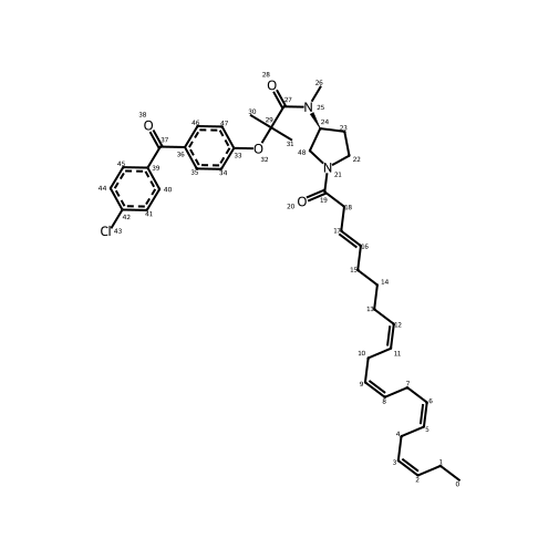 CC/C=C\C/C=C\C/C=C\C/C=C\CCC/C=C/CC(=O)N1CC[C@H](N(C)C(=O)C(C)(C)Oc2ccc(C(=O)c3ccc(Cl)cc3)cc2)C1